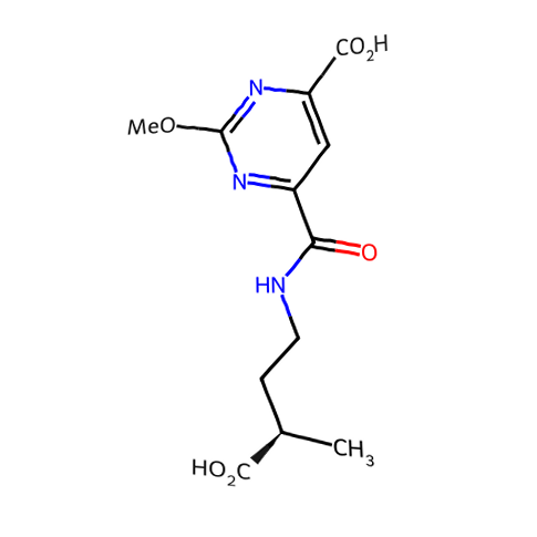 COc1nc(C(=O)O)cc(C(=O)NCC[C@@H](C)C(=O)O)n1